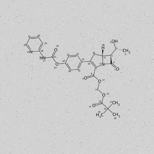 C[C@@H](O)[C@H]1C(=O)N2C(C(=O)OCOC(=O)C(C)(C)C)=C(c3ccc(OC(=O)Nc4ccccn4)cc3)C[C@H]12